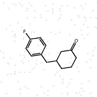 O=C1CCCC(Cc2ccc(F)cc2)C1